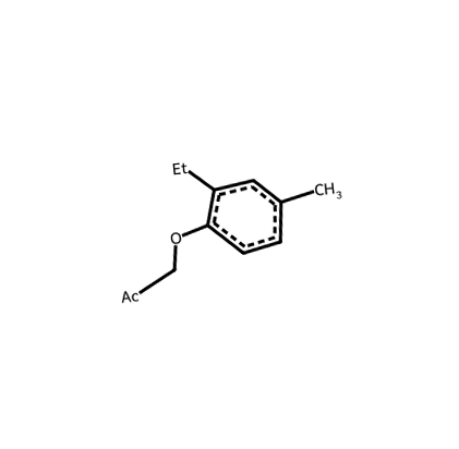 CCc1cc(C)ccc1OCC(C)=O